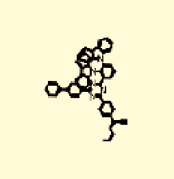 C#C/C(=C\C=C/C)c1ccc(-c2nc(-c3ccc(-c4ccccc4)cc3)nc(-c3cccc(N4c5ccccc5C5C=CC=CC54)c3-n3c4ccccc4c4ccccc43)n2)cc1